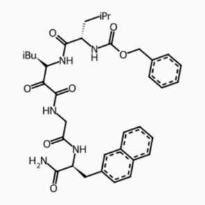 CC[C@H](C)C(NC(=O)[C@H](CC(C)C)NC(=O)OCc1ccccc1)C(=O)C(=O)NCC(=O)N[C@@H](Cc1ccc2ccccc2c1)C(N)=O